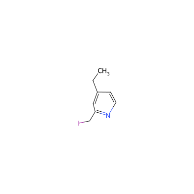 CCc1ccnc(CI)c1